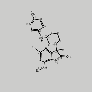 CCNc1cc(F)cc2c1NC(=O)C2(C)N1CCC[C@@H](Nc2ccc(C#N)nc2)C1